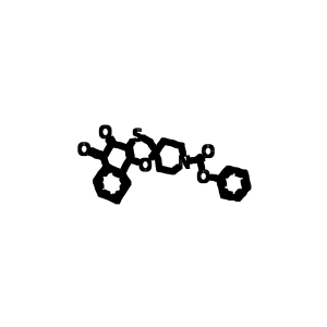 O=C1C(=O)c2ccccc2C2=C1SCC1(CCN(C(=O)Oc3ccccc3)CC1)O2